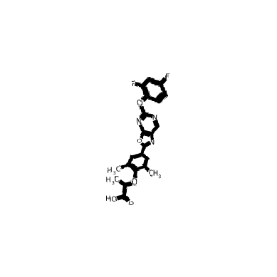 Cc1cc(-c2nc3cnc(Oc4ccc(F)cc4F)nc3o2)cc(C)c1OC(C)C(=O)O